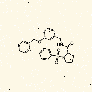 O=C(NCc1cccc(OCc2ccccn2)c1)C1CCCN1S(=O)(=O)c1ccccc1